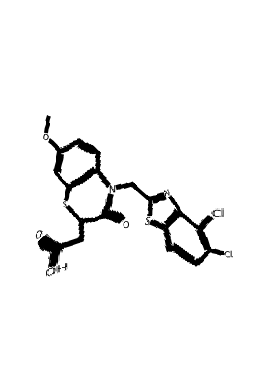 COc1ccc2c(c1)SC(CC(=O)O)C(=O)N2Cc1nc2c(Cl)c(Cl)ccc2s1